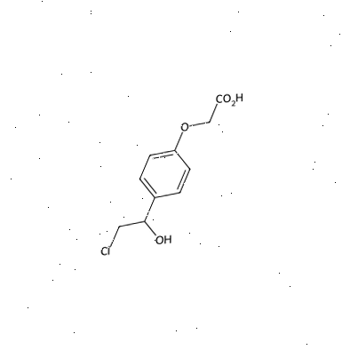 O=C(O)COc1ccc(C(O)CCl)cc1